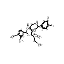 Cc1ccc(C2O[C@H]([C@H](O)CO)[C@@H]3OC(c4ccc(F)c(F)c4)OC[C@@H]3O2)cc1C